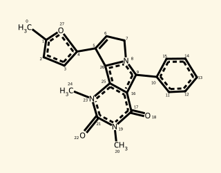 Cc1ccc(C2=CCn3c(-c4ccccc4)c4c(=O)n(C)c(=O)n(C)c4c32)o1